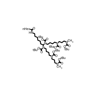 CCCCCCC(=O)NCCCCCCC(N(CCCCN(CCCN(C)C(=O)OC(C)(C)C)C(=O)OC(C)(C)C)C(=O)OC(C)(C)C)N(CCCCN(CCCN(C)C(=O)OC(C)(C)C)C(=O)OC(C)(C)C)C(=O)OC(C)(C)C